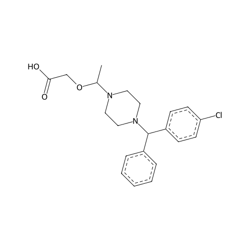 CC(OCC(=O)O)N1CCN(C(c2ccccc2)c2ccc(Cl)cc2)CC1